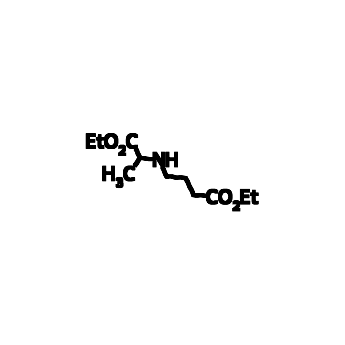 CCOC(=O)CCCNC(C)C(=O)OCC